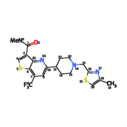 CNC(=O)c1csc2c(C(F)(F)F)cc(C3CCN(Cc4nc(C)cs4)CC3)nc12